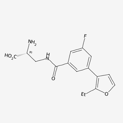 CCc1occc1-c1cc(F)cc(C(=O)NC[C@@H](N)C(=O)O)c1